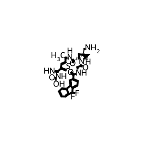 C[C@@H](NC(=O)[C@@H]1C[C@]2(CN)C[C@@H]2N1C(=O)CNC(=O)c1ccc2c(c1)-c1ccccc1C2(F)F)c1cc(C(=N)NC(=O)O)cs1